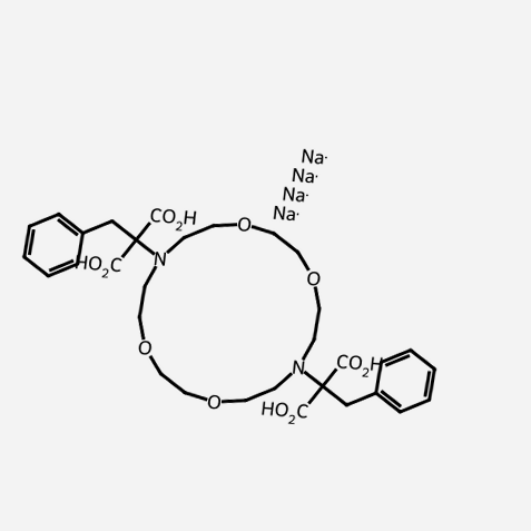 O=C(O)C(Cc1ccccc1)(C(=O)O)N1CCOCCOCCN(C(Cc2ccccc2)(C(=O)O)C(=O)O)CCOCCOCC1.[Na].[Na].[Na].[Na]